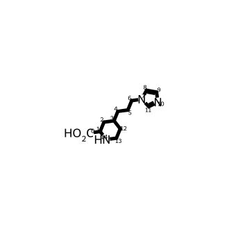 O=C(O)C1CC(CCCn2ccnc2)CCN1